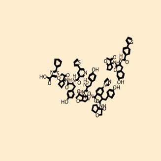 NC(=O)c1ccc(-n2ccnc2)cc1C(Cc1ccc(O)cc1)C(=O)NC12CCCC1OCC2=O.NC(Cc1ccc(O)cc1)C(=O)NC12CCCC1OCC2=O.O=C(NC(Cc1ccc(O)cc1)C(=O)NC12CCCC1OCC2=O)c1ccc(-c2cccs2)cc1.O=C(NC(Cc1ccc(O)cc1)C(=O)NC12CCCC1OCC2=O)c1cncc(-c2cccs2)c1.O=C(O)c1csc(-c2ccccc2)n1